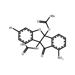 CCCCC(=O)NC12C(=O)c3c([N+](=O)[O-])cccc3C1(OC(=O)CCCC)Oc1cc(C(C)C)ccc12